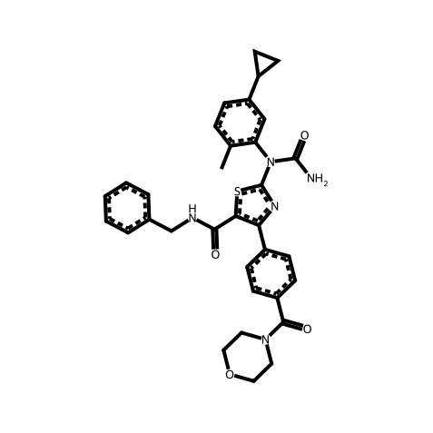 Cc1ccc(C2CC2)cc1N(C(N)=O)c1nc(-c2ccc(C(=O)N3CCOCC3)cc2)c(C(=O)NCc2ccccc2)s1